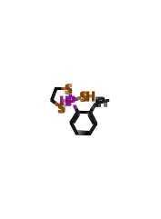 CC(C)c1ccccc1[PH]1(S)SCCS1